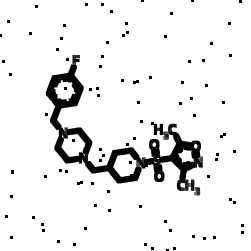 Cc1noc(C)c1S(=O)(=O)N1CCC(CN2CCN(Cc3ccc(F)cc3)CC2)CC1